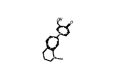 CC(=O)N1CCCc2ccc(-n3ccc(=O)c(O)c3)cc21